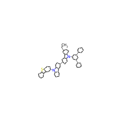 C=Cc1ccc2c(c1)c1cc(-c3ccc4c(c3)c3ccccc3n4-c3ccc4sc5ccccc5c4c3)ccc1n2-c1cc(-c2ccccc2)cc(-c2ccccc2)c1